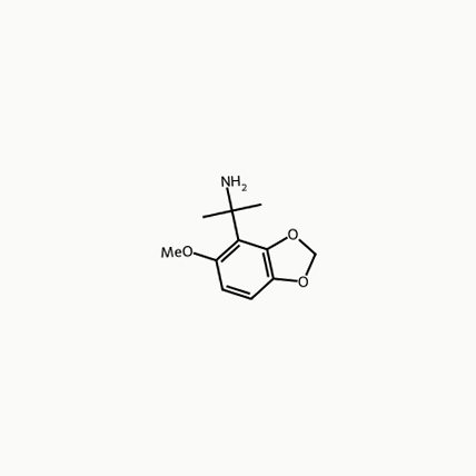 COc1ccc2c(c1C(C)(C)N)OCO2